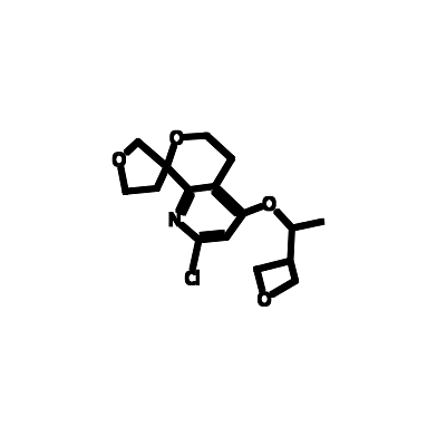 CC(Oc1cc(Cl)nc2c1CCOC21CCOC1)C1COC1